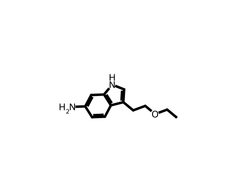 CCOCCc1c[nH]c2cc(N)ccc12